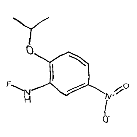 CC(C)Oc1ccc([N+](=O)[O-])cc1NF